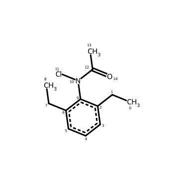 CCc1cccc(CC)c1N(Cl)C(C)=O